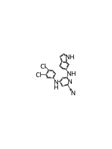 N#Cc1cc(Nc2ccc(Cl)c(Cl)c2)cc(Nc2ccc3cc[nH]c3c2)n1